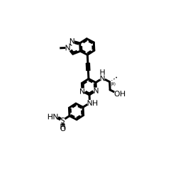 C[C@H](CO)Nc1nc(Nc2ccc([SH](=N)=O)cc2)ncc1C#Cc1cccc2nn(C)cc12